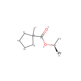 CC(C)[C@H](C)OC(=O)C1(C)CCCC1